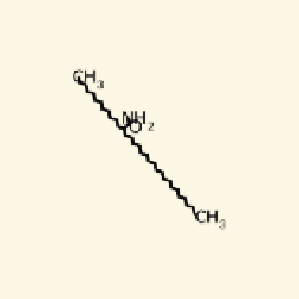 CCCCCCCCCCCCCCCCCCCCC(CCCCCCCCCCCC)C(N)=O